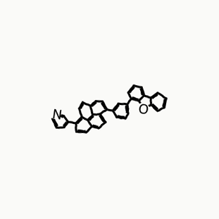 c1cncc(-c2ccc3ccc4c(-c5cccc(-c6cccc7c6oc6ccccc67)c5)ccc5ccc2c3c54)c1